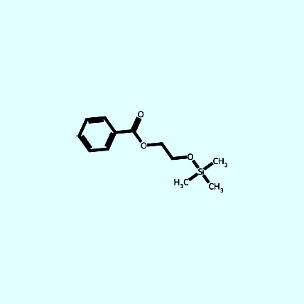 C[Si](C)(C)OCCOC(=O)c1cc[c]cc1